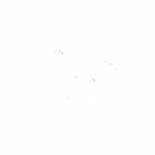 CCn1ccn(C)c1=N